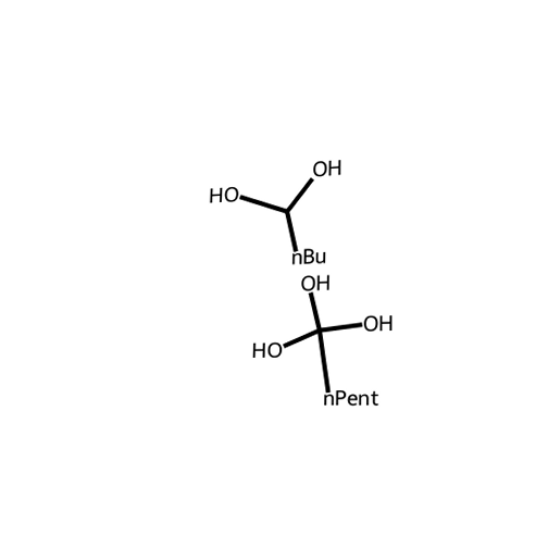 CCCCC(O)O.CCCCCC(O)(O)O